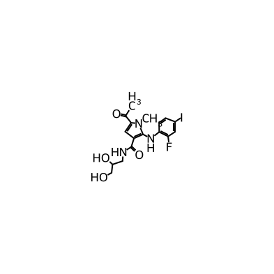 CC(=O)c1cc(C(=O)NCC(O)CO)c(Nc2ccc(I)cc2F)n1C